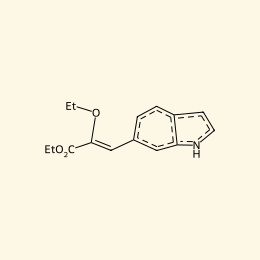 CCOC(=O)C(=Cc1ccc2cc[nH]c2c1)OCC